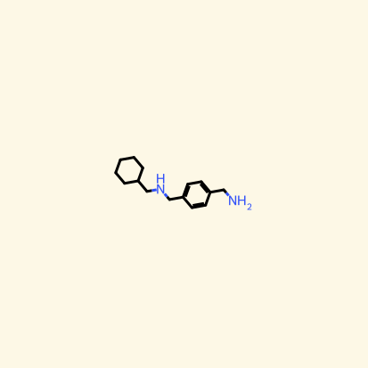 NCc1ccc(CNCC2CCCCC2)cc1